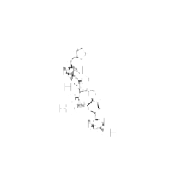 Cc1nc(-c2ccc3c(c2)N(C)C(=O)[C@@H](NC(=O)c2nnc(CC4CCCC4)[nH]2)CO3)no1